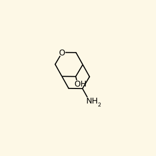 NC1CC2COCC(C1)C2O